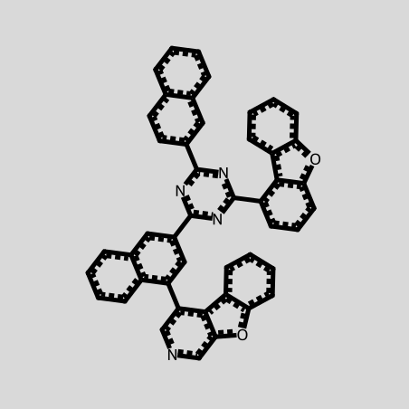 c1ccc2cc(-c3nc(-c4cc(-c5cncc6oc7ccccc7c56)c5ccccc5c4)nc(-c4cccc5oc6ccccc6c45)n3)ccc2c1